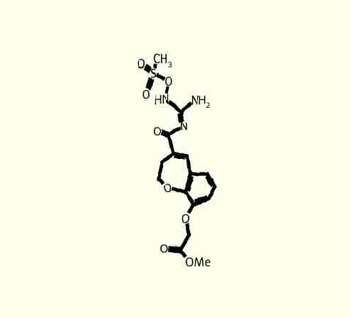 COC(=O)COc1cccc2c1OCCC(C(=O)N=C(N)NOS(C)(=O)=O)=C2